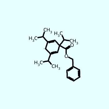 CC(C)C1=CC(C(=O)OCc2ccccc2)(C(C)C)C=C(C(C)C)[CH]1